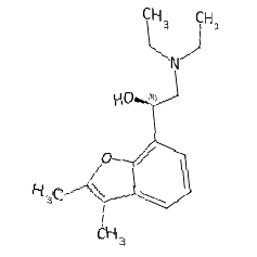 CCN(CC)C[C@H](O)c1cccc2c(C)c(C)oc12